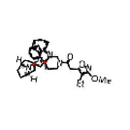 CCc1c(OC)noc1CC(=O)N1CCC(CCN2[C@@H]3CC[C@H]2CC(n2c(C)nc4ccccc42)C3)(c2ccccc2)CC1